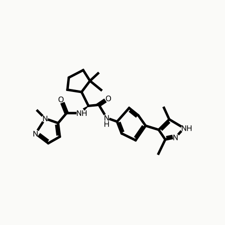 Cc1n[nH]c(C)c1-c1ccc(NC(=O)[C@@H](NC(=O)c2ccnn2C)C2CCCC2(C)C)cc1